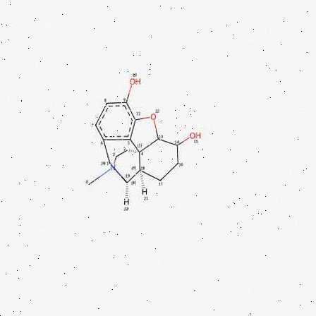 CN1CC[C@]23c4c5ccc(O)c4OC2C(O)CC[C@H]3[C@H]1C5